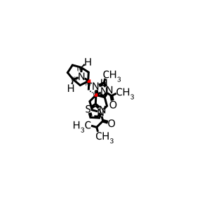 CC(=O)N[C@@H](CCN1[C@@H]2CC[C@H]1C[C@@H](n1c(C)nc3c1CCN(C(=O)C(C)C)C3)C2)c1nccs1